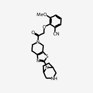 COc1cccc(C#N)c1OCC(=O)N1CCc2nc(N3C4CCC3CNC4)sc2C1